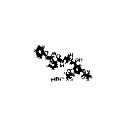 Br.CC(C)(CNC(=O)[C@@H]1CCCN1C(=O)COc1ccccc1)NCC(O)c1cc(OC(=O)C(C)(C)C)cc(OC(=O)C(C)(C)C)c1